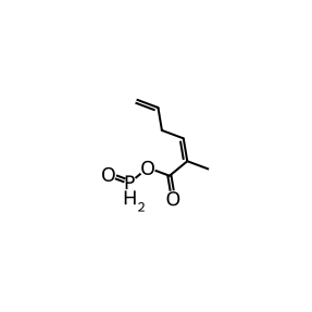 C=CCC=C(C)C(=O)O[PH2]=O